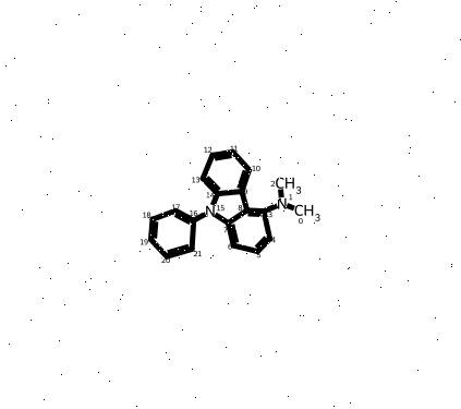 CN(C)c1cccc2c1c1ccccc1n2-c1ccccc1